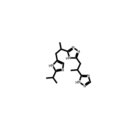 CC(C)c1ncc(CC(C)c2nnc(CC(C)c3ncn[nH]3)[nH]2)[nH]1